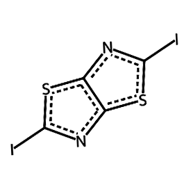 Ic1nc2sc(I)nc2s1